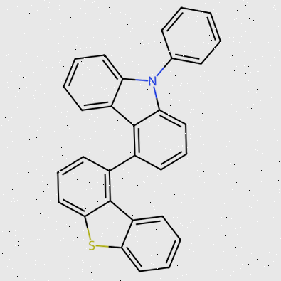 c1ccc(-n2c3ccccc3c3c(-c4cccc5sc6ccccc6c45)cccc32)cc1